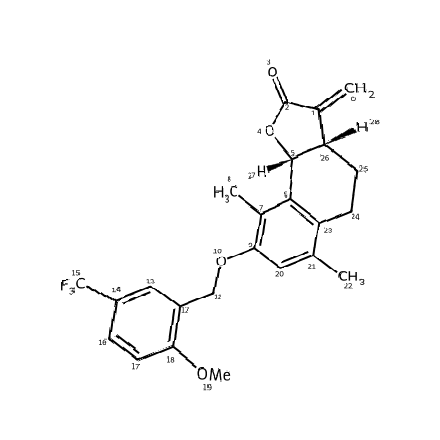 C=C1C(=O)O[C@H]2c3c(C)c(OCc4cc(C(F)(F)F)ccc4OC)cc(C)c3CC[C@@H]12